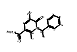 COC(=O)c1cc(Br)c(=O)n(C(C)c2ccccc2)c1C